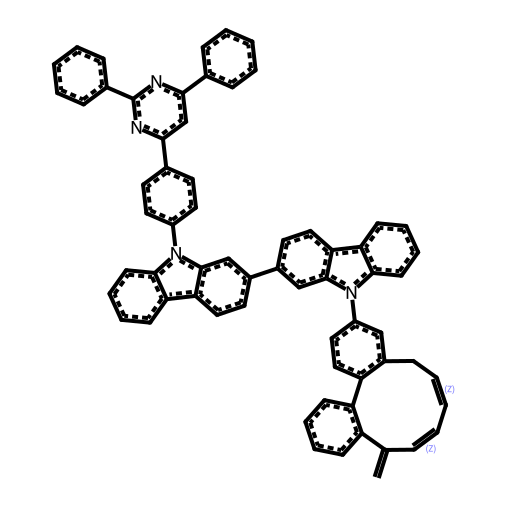 C=C1/C=C\C=C/Cc2cc(-n3c4ccccc4c4ccc(-c5ccc6c7ccccc7n(-c7ccc(-c8cc(-c9ccccc9)nc(-c9ccccc9)n8)cc7)c6c5)cc43)ccc2-c2ccccc21